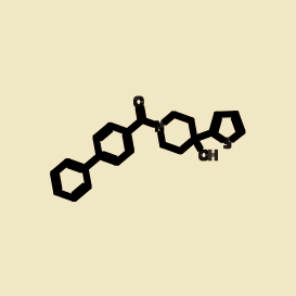 O=C(c1ccc(-c2ccccc2)cc1)N1CCC(O)(c2cccs2)CC1